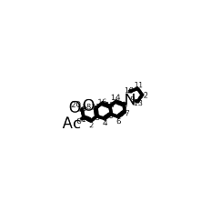 CC(=O)c1cc2cc3ccc(N4CCCC4)cc3cc2oc1=O